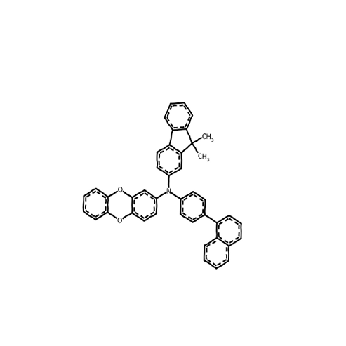 CC1(C)c2ccccc2-c2ccc(N(c3ccc(-c4cccc5ccccc45)cc3)c3ccc4c(c3)Oc3ccccc3O4)cc21